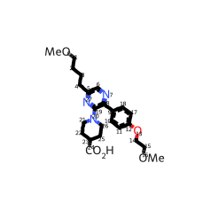 COCCCCc1cnc(-c2ccc(OCCOC)cc2)c(N2CCC(C(=O)O)CC2)n1